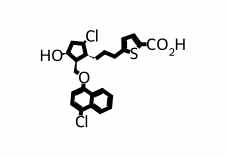 O=C(O)c1ccc(CCC[C@@H]2[C@@H](COc3ccc(Cl)c4ccccc34)[C@H](O)C[C@H]2Cl)s1